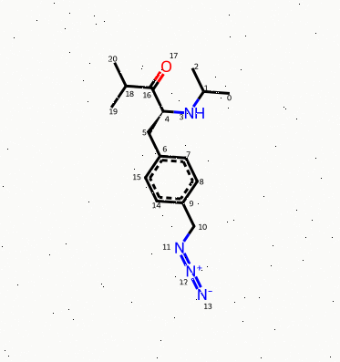 CC(C)N[C@@H](Cc1ccc(CN=[N+]=[N-])cc1)C(=O)C(C)C